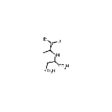 CCN(CC)C(C)NC(CC(=O)O)C(=O)O